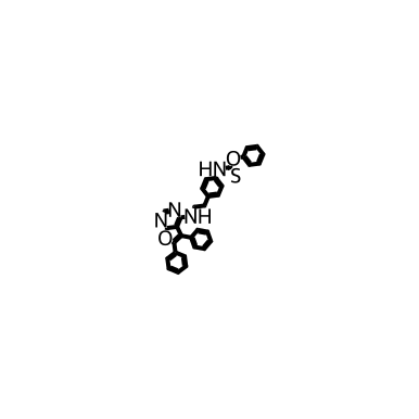 S=C(Nc1ccc(CCNc2ncnc3oc(-c4ccccc4)c(-c4ccccc4)c23)cc1)Oc1ccccc1